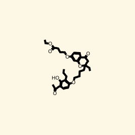 CCCc1c(OCCCCC2(CC)CC(=O)c3ccc(OCCCC(=O)OCC)cc3O2)ccc(C(C)=O)c1O